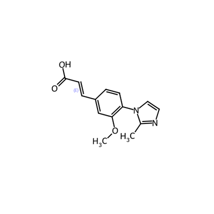 COc1cc(/C=C/C(=O)O)ccc1-n1ccnc1C